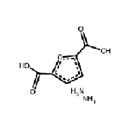 N.N.O=C(O)c1ccc(C(=O)O)o1